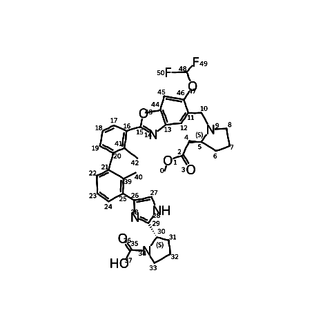 COC(=O)C[C@@H]1CCCN1Cc1cc2nc(-c3cccc(-c4cccc(-c5c[nH]c([C@@H]6CCCN6C(=O)O)n5)c4C)c3C)oc2cc1OC(F)F